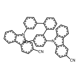 N#Cc1ccc(-n2c3ccccc3c3cc(C#N)ccc32)c(-c2ccccc2-c2cccc(-n3c4ccccc4c4ccc(C#N)cc43)c2)c1